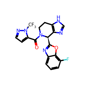 O=C(c1ccnn1C(F)(F)F)N1CCc2[nH]cnc2[C@H]1c1nc2cccc(F)c2o1